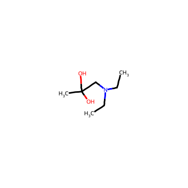 CCN(CC)CC(C)(O)O